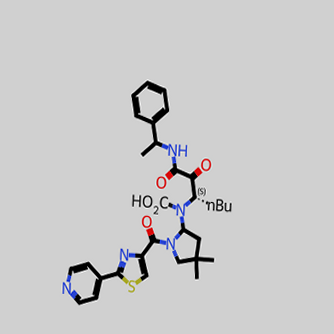 CCCC[C@@H](C(=O)C(=O)NC(C)c1ccccc1)N(C(=O)O)C1CC(C)(C)CN1C(=O)c1csc(-c2ccncc2)n1